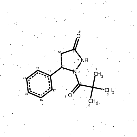 CC(C)(C)C(=O)N1NC(=O)CC1c1ccccc1